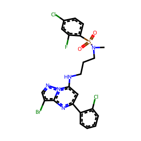 CN(CCCNc1cc(-c2ccccc2Cl)nc2c(Br)cnn12)S(=O)(=O)c1ccc(Cl)cc1F